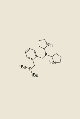 CC(C)(C)P(Cc1ccccc1CP(C1CCCN1)C1CCCN1)C(C)(C)C